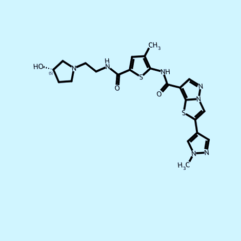 Cc1cc(C(=O)NCCN2CC[C@H](O)C2)sc1NC(=O)c1cnn2cc(-c3cnn(C)c3)sc12